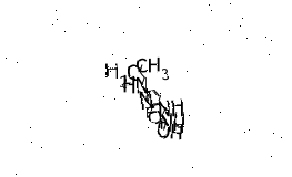 C=C(C)CNc1ccc(NC(=O)NO)c(F)n1